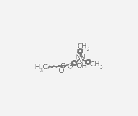 CCCCCCCC(=O)OCCOc1ccc(-c2nc(-c3ccc(C)cc3)nc(-c3ccc(C)cc3)n2)c(O)c1